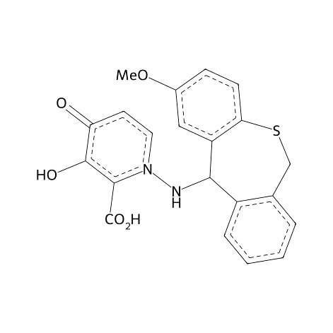 COc1ccc2c(c1)C(Nn1ccc(=O)c(O)c1C(=O)O)c1ccccc1CS2